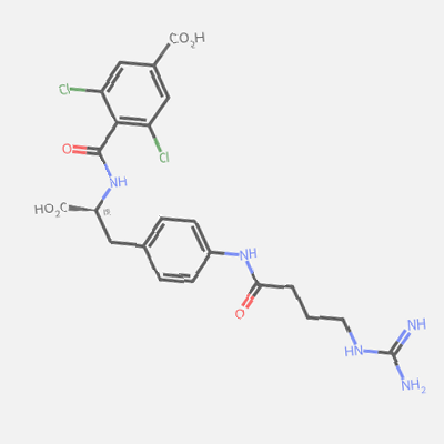 N=C(N)NCCCC(=O)Nc1ccc(C[C@H](NC(=O)c2c(Cl)cc(C(=O)O)cc2Cl)C(=O)O)cc1